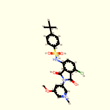 COc1cc(N2C(=O)c3c(Cl)ccc(NS(=O)(=O)c4ccc(C(C)(C)C)cc4)c3C2=O)c[n+](C)c1